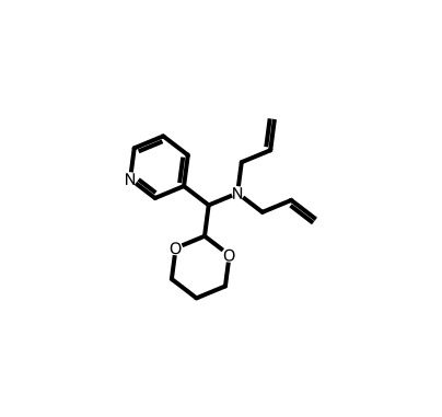 C=CCN(CC=C)C(c1cccnc1)C1OCCCO1